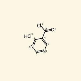 Cl.O=C(Cl)c1cncnc1